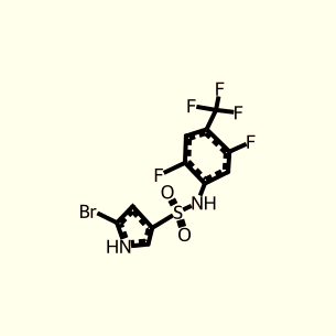 O=S(=O)(Nc1cc(F)c(C(F)(F)F)cc1F)c1c[nH]c(Br)c1